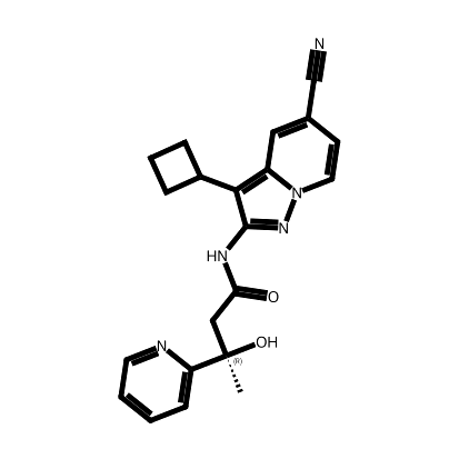 C[C@@](O)(CC(=O)Nc1nn2ccc(C#N)cc2c1C1CCC1)c1ccccn1